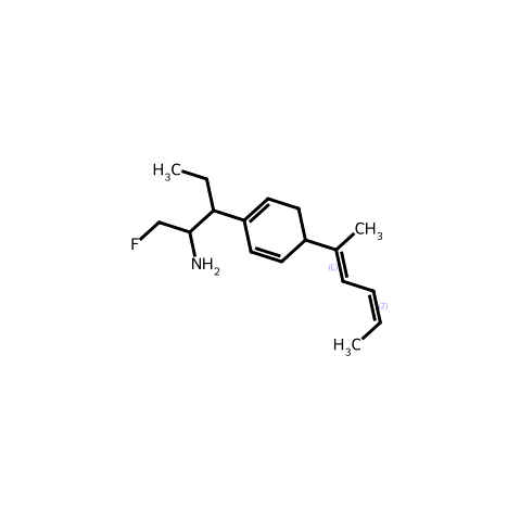 C/C=C\C=C(/C)C1C=CC(C(CC)C(N)CF)=CC1